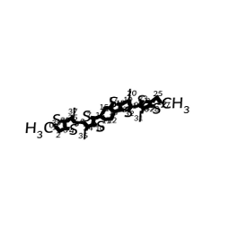 Cc1cc2sc(-c3sc4c(sc5cc6c(cc54)sc4c(I)c(-c5sc7cc(C)sc7c5I)sc46)c3I)c(I)c2s1